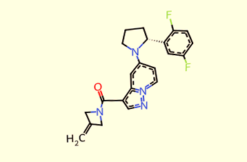 C=C1CN(C(=O)c2cnn3ccc(N4CCC[C@@H]4c4cc(F)ccc4F)cc23)C1